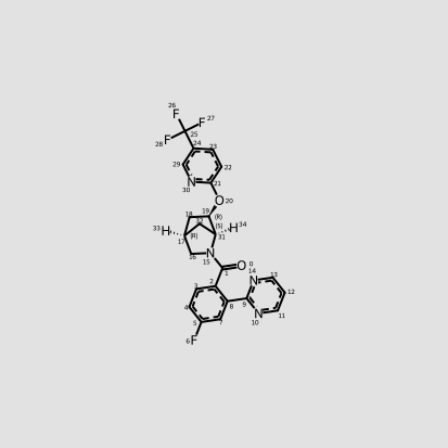 O=C(c1ccc(F)cc1-c1ncccn1)N1C[C@H]2C[C@@H](Oc3ccc(C(F)(F)F)cn3)[C@@H]1C2